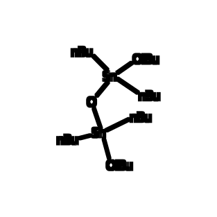 CCC[CH2][Sn]([CH2]CCC)([O]CC(C)C)[O][Sn]([CH2]CCC)([CH2]CCC)[O]CC(C)C